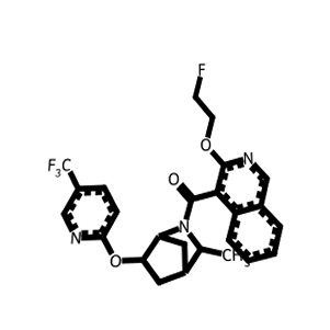 CC1C2CC(Oc3ccc(C(F)(F)F)cn3)C(C2)N1C(=O)c1c(OCCF)ncc2ccccc12